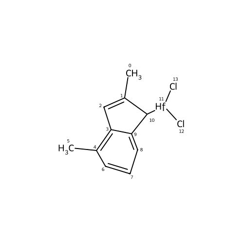 CC1=Cc2c(C)cccc2[CH]1[Hf]([Cl])[Cl]